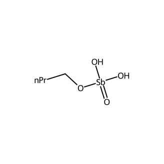 CCCC[O][Sb](=[O])([OH])[OH]